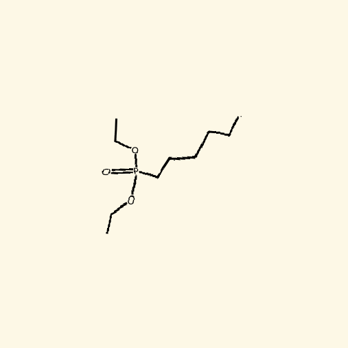 [CH2]CCCCCP(=O)(OCC)OCC